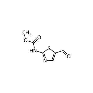 COC(=O)Nc1ncc(C=O)s1